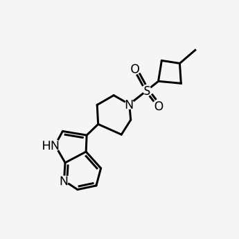 CC1CC(S(=O)(=O)N2CCC(c3c[nH]c4ncccc34)CC2)C1